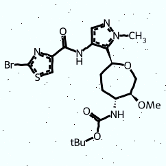 CO[C@@H]1CO[C@H](c2c(NC(=O)c3csc(Br)n3)cnn2C)CC[C@H]1NC(=O)OC(C)(C)C